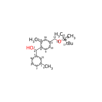 Cc1cccc(C(O)c2ccc(CO[Si](C)(C)C(C)(C)C)cc2C)c1